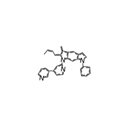 C=c1/c(=C\C=C/C)n(-c2cc(-c3cccnc3)ccn2)c2cc3c(ccn3-c3ccccc3)cc12